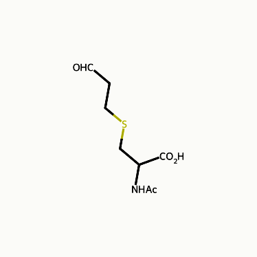 CC(=O)NC(CSCCC=O)C(=O)O